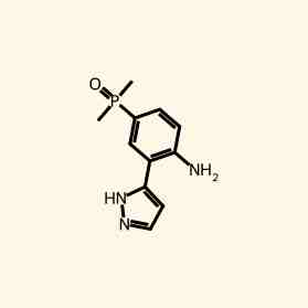 CP(C)(=O)c1ccc(N)c(-c2ccn[nH]2)c1